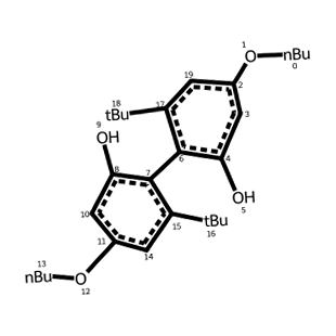 CCCCOc1cc(O)c(-c2c(O)cc(OCCCC)cc2C(C)(C)C)c(C(C)(C)C)c1